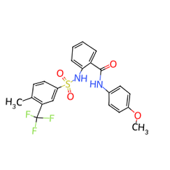 COc1ccc(NC(=O)c2ccccc2NS(=O)(=O)c2ccc(C)c(C(F)(F)F)c2)cc1